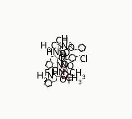 CC(C)[C@H](NC(=O)OCc1ccccc1)C(=O)NC(Cc1ccc(F)cc1)C(CN(Cc1ccc(F)cc1)NC(=O)[C@@H](NC(=O)C(Cc1ccccc1)C(N)=O)C(C)C)OC(=O)c1ccc(CCl)cc1